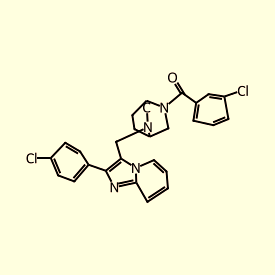 O=C(c1cccc(Cl)c1)N1CC2CCC1CN2Cc1c(-c2ccc(Cl)cc2)nc2ccccn12